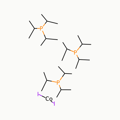 CC(C)P(C(C)C)C(C)C.CC(C)P(C(C)C)C(C)C.CC(C)P(C(C)C)C(C)C.[I][Co][I]